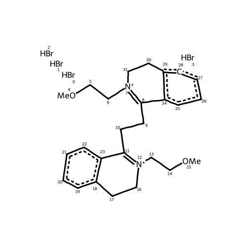 Br.Br.Br.Br.COCC[N+]1=C(CCC2=[N+](CCOC)CCc3ccccc32)c2ccccc2CC1